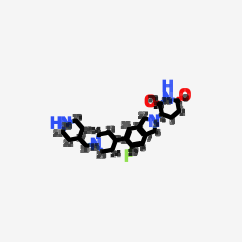 O=C1CCC(N2Cc3cc(F)c(C4CCN(CC5CCNCC5)CC4)cc3C2)C(=O)N1